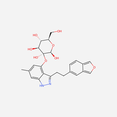 Cc1cc(O[C@]2(O)[C@H](O)O[C@H](CO)[C@@H](O)[C@@H]2O)c2c(CCc3ccc4cocc4c3)n[nH]c2c1